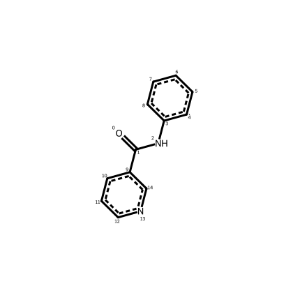 O=C(Nc1[c]cccc1)c1cccnc1